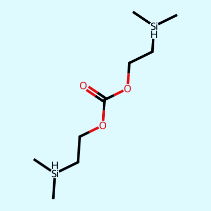 C[SiH](C)CCOC(=O)OCC[SiH](C)C